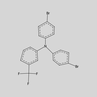 FC(F)(F)c1cccc(N(c2ccc(Br)cc2)c2ccc(Br)cc2)c1